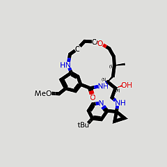 COCc1cc2cc(c1)C(=O)N[C@H]([C@H](O)CNC1(c3cc(C(C)(C)C)ccn3)CC1)C[C@H](C)CCOCCCCN2